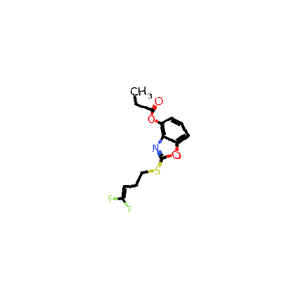 CCC(=O)Oc1cccc2oc(SCCC=C(F)F)nc12